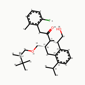 Cc1cccc(F)c1CC(=O)C(C)[C@@H](COC[SiH](C)C(C)(C)C)Cc1c(CCO)cccc1C(C)C